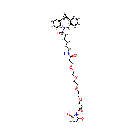 O=C(CCOCCOCCOCCOCCC(=O)ON1C(=O)CCC1=O)NCCCCCC(=O)N1Cc2ccccc2C2=C(C2)c2ccccc21